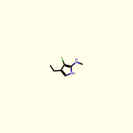 CCc1c[nH]c(NC)c1F